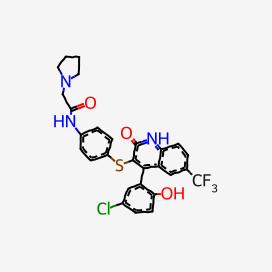 O=C(CN1CCCC1)Nc1ccc(Sc2c(-c3cc(Cl)ccc3O)c3cc(C(F)(F)F)ccc3[nH]c2=O)cc1